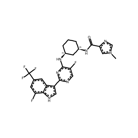 Cn1cnc(C(=O)N[C@@H]2CCC[C@H](Nc3nc(-c4c[nH]c5c(F)cc(C(F)(F)F)cc45)ncc3F)C2)c1